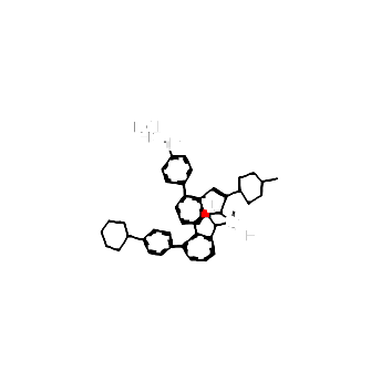 CCC1=Cc2c(-c3ccc(C4CCCCC4)cc3)cccc2[CH]1[Zr]([CH3])([CH3])(=[SiH2])[CH]1C(C2CCC(C)CC2)=Cc2c(-c3ccc(C(C)C)cc3)cccc21.Cl.Cl